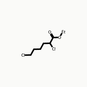 CCOC(=O)C(Cl)CCCCCl